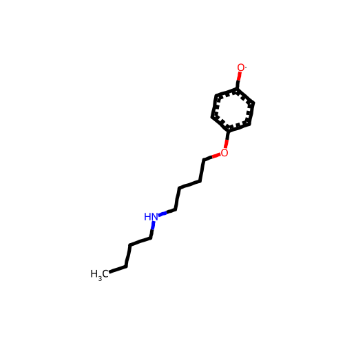 CCCCNCCCCOc1ccc([O])cc1